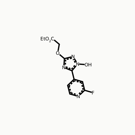 CCOC(=O)COc1nc(-c2ccnc(F)c2)n(O)n1